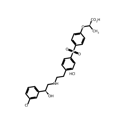 C[C@@H](Oc1ccc(S(=O)(=O)c2ccc(CCNC[C@@H](O)c3cccc(Cl)c3)cc2)cc1)C(=O)O.Cl